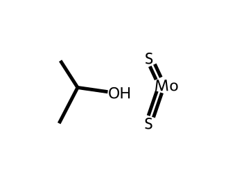 CC(C)O.[S]=[Mo]=[S]